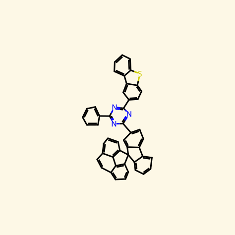 c1ccc(-c2nc(-c3ccc4c(c3)C3(c5ccccc5-4)c4cccc5ccc6cccc3c6c45)nc(-c3ccc4sc5ccccc5c4c3)n2)cc1